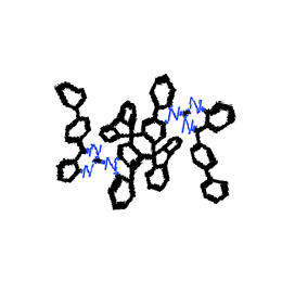 c1ccc(-c2ccc(-c3nc(-n4c5ccccc5c5cc6c(cc54)C4(c5ccccc5-c5ccccc54)c4cc5c7ccccc7n(-c7nc(-c8ccc(-c9ccccc9)cc8)c8ccccc8n7)c5cc4C64c5ccccc5-c5ccccc54)nc4ccccc34)cc2)cc1